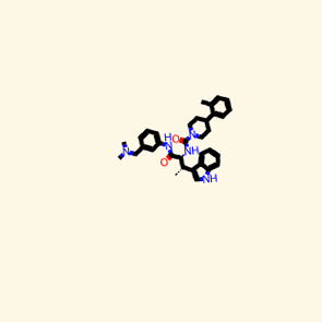 Cc1ccccc1C1CCN(C(=O)N[C@@H](C(=O)Nc2cccc(CN(C)C)c2)[C@@H](C)c2c[nH]c3ccccc23)CC1